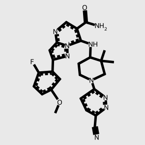 COc1ccc(F)c(-c2cc3ncc(C(N)=O)c(NC4CCN(c5ccc(C#N)nn5)CC4(C)C)n3n2)c1